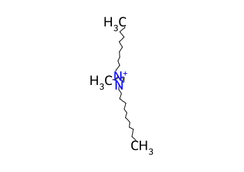 CCCCCCCCCCCCCn1cc[n+](CCCCCCCCCCC)c1C